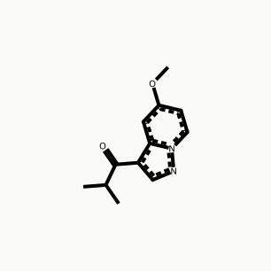 COc1ccn2ncc(C(=O)C(C)C)c2c1